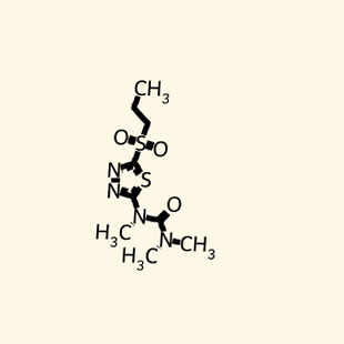 CCCS(=O)(=O)c1nnc(N(C)C(=O)N(C)C)s1